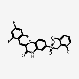 O=C1Nc2cc(S(=O)(=O)Cc3c(Cl)cccc3Cl)ccc2SC1=Cc1c(F)cc(F)cc1F